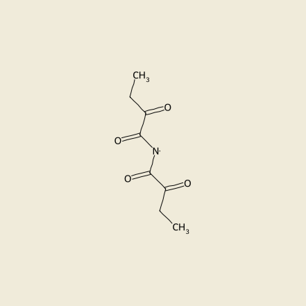 CCC(=O)C(=O)[N]C(=O)C(=O)CC